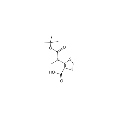 CN(C(=O)OC(C)(C)C)c1sccc1C(=O)O